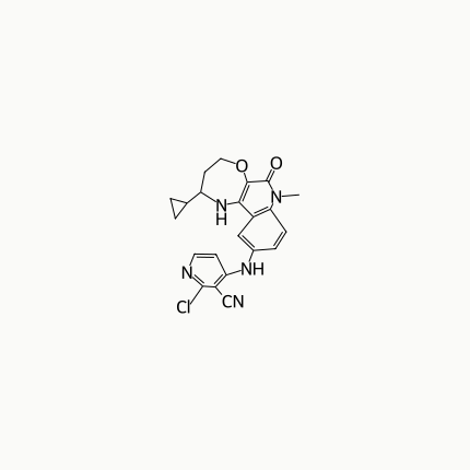 Cn1c(=O)c2c(c3cc(Nc4ccnc(Cl)c4C#N)ccc31)NC(C1CC1)CCO2